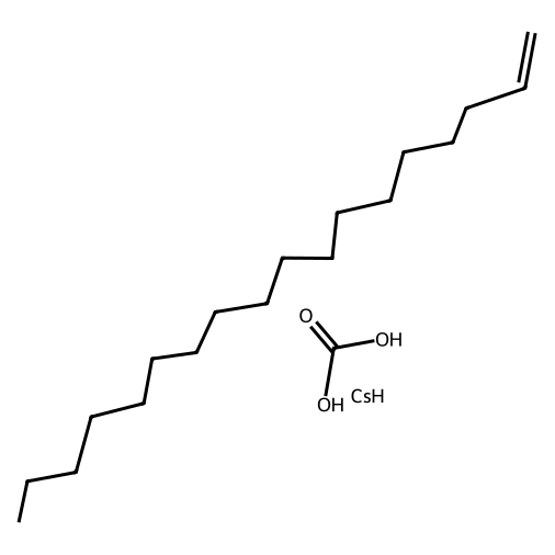 C=CCCCCCCCCCCCCCCCC.O=C(O)O.[CsH]